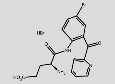 Br.N[C@@H](CCC(=O)O)C(=O)Nc1ccc(Br)cc1C(=O)c1ccccn1